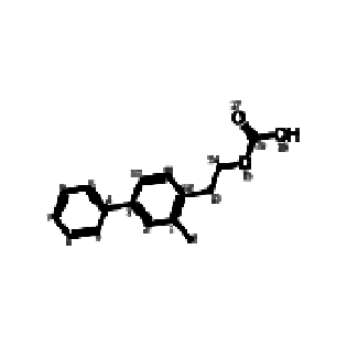 Cc1cc(-c2ccccc2)ccc1CCOC(=O)O